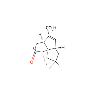 C[C@@H]1C(=O)OC[C@H]2C(C(=O)O)=C[C@@H]3CC(C)(C)C[C@]312